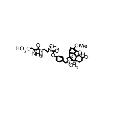 COc1ccc2c3c1O[C@H]1C(=O)CC[C@H]4C5C2(C[C@]314)C[N@+]5(C)Cc1ccc(OC(=O)N(C)CCNC(=O)[C@@H](N)CC(=O)O)cc1